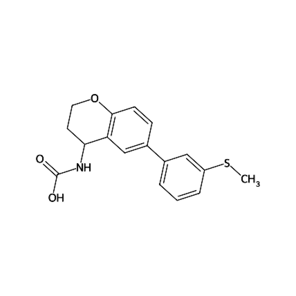 CSc1cccc(-c2ccc3c(c2)C(NC(=O)O)CCO3)c1